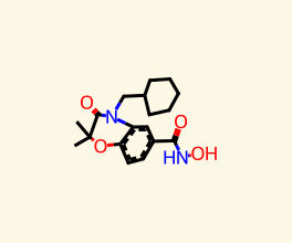 CC1(C)Oc2ccc(C(=O)NO)cc2N(CC2CCCCC2)C1=O